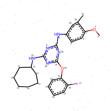 COc1ccc(Nc2nc(NC3CCCCCC3)nc(Oc3ccccc3I)n2)cc1C